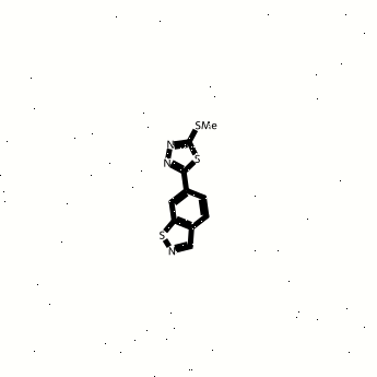 CSc1nnc(-c2ccc3cnsc3c2)s1